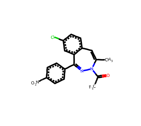 CC1=Cc2ccc(Cl)cc2C(c2ccc([N+](=O)[O-])cc2)=NN1C(=O)C(F)(F)F